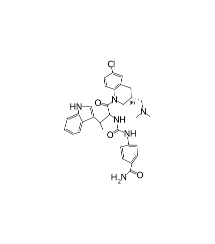 CC(c1c[nH]c2ccccc12)C(NC(=O)Nc1ccc(C(N)=O)cc1)C(=O)N1C[C@@H](CN(C)C)Cc2cc(Cl)ccc21